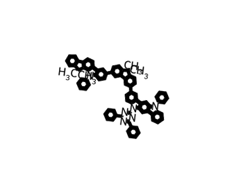 CC1(C)c2ccc(-c3ccc4c(c3)c3cc5c(cc3n4-c3nc(-c4ccccc4)nc(-c4ccccc4)n3)c3ccccc3n5-c3ccccc3)cc2-c2cc(-c3ccc4c(c3)c3ccc5c(c3n4-c3ccccc3)C(C)(C)c3ccccc3-5)ccc21